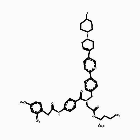 CC[C@H]1CC[C@H](C2CC=C(c3cnc(-c4ccc(CN(CC(=O)N[C@H](CCN)C(=O)O)C(=O)c5ccc(NC(=O)Cc6ccc(OC)cc6C(F)(F)F)cc5)cc4)nc3)CC2)CC1